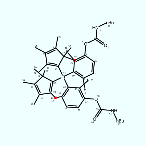 CCCCNC(=O)Oc1ccc(F)[c]([Ti]([C]2=C(C)C(C)=C(C)C2(C)C)([C]2=C(C)C(C)=C(C)C2(C)C)[c]2c(F)ccc(OC(=O)NCCCC)c2F)c1F